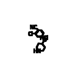 Cl.N#Cc1ccc(OC2CCNCC2)cc1Cl